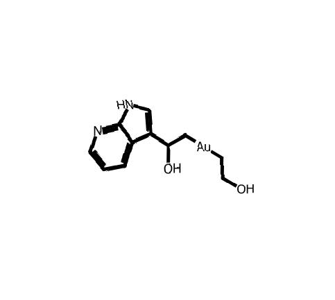 OC[CH2][Au][CH2]C(O)c1c[nH]c2ncccc12